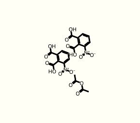 CC(=O)OC(C)=O.O=C(O)c1cccc([N+](=O)[O-])c1C(=O)O.O=C(O)c1cccc([N+](=O)[O-])c1C(=O)O